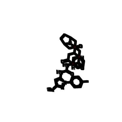 Cc1ccc(-n2nc(C(C)(C)C)cc2NC(=O)Nc2cccc(CC3CC4CCC(C3)N4C(=O)C3CC(=O)NC(=O)N3)c2)cc1